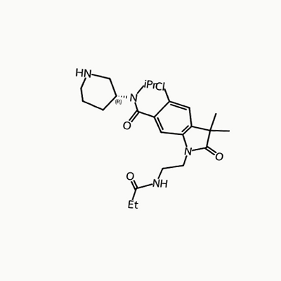 CCC(=O)NCCN1C(=O)C(C)(C)c2cc(Cl)c(C(=O)N(C(C)C)[C@@H]3CCCNC3)cc21